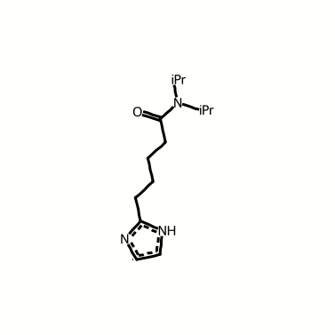 CC(C)N(C(=O)CCCCc1n[c]c[nH]1)C(C)C